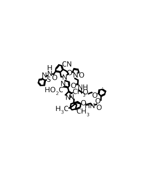 Cc1c(-c2ccc(N3CCc4c(C#N)ccc(C(=O)Nc5nc6ccccc6s5)c4C3)nc2C(=O)O)cnn1CC12CC3(C)CC(C)(C1)CC(OCCNC(=O)OCc1cc[c]cc1OCCOCCNC(=O)CCN1C(=O)C=CC1=O)(C3)C2